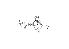 CC(C)CC1=C[C@H]2[C@@H](C1)C[C@@]2(CNC(=O)OC(C)(C)C)CC(=O)O